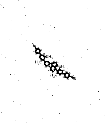 Cc1cc(-c2ccc(C#N)cc2)cc(C)c1-c1ccc2c(c1)-c1cccc3c(-c4c(C)cc(-c5ccc(C#N)cc5)cc4C)ccc-2c13